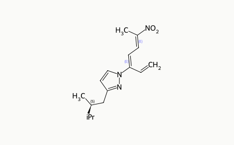 C=C/C(=C\C=C(/C)[N+](=O)[O-])n1ccc(C[C@H](C)C(C)C)n1